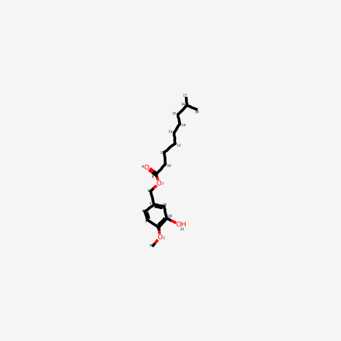 COc1ccc(COC(=O)CCCCCCC(C)C)cc1O